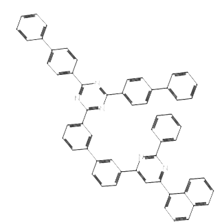 c1ccc(-c2ccc(-c3nc(-c4ccc(-c5ccccc5)cc4)nc(-c4cccc(-c5cccc(-c6cc(-c7cccc8ccccc78)nc(-c7ccccc7)n6)c5)c4)n3)cc2)cc1